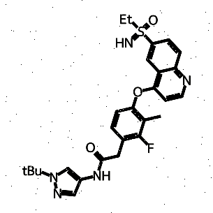 CCS(=N)(=O)c1ccc2nccc(Oc3ccc(CC(=O)Nc4cnn(C(C)(C)C)c4)c(F)c3C)c2c1